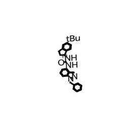 CC(C)(C)c1ccc2c(c1)CC[C@H]2NC(=O)Nc1cccc2c1cnn2Cc1ccccc1